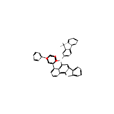 CC1(C)c2ccccc2-c2ccc(N(c3ccc(-c4ccccc4)cc3)c3cc4c5ccccc5sc4c4cccc(-c5ccccc5)c34)cc21